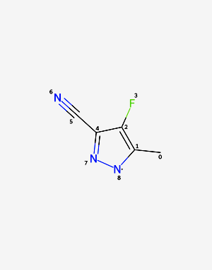 CC1=C(F)C(C#N)=N[N]1